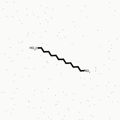 O=C(O)CCCCCCCCCCCC[N+](=O)[O-]